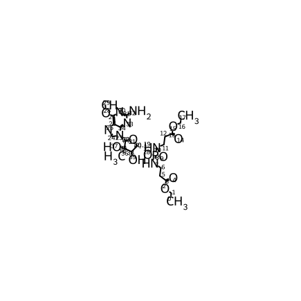 CCOC(=O)CCNP(=O)(NCCC(=O)OCC)OC[C@H]1O[C@@H](n2cnc3c(OC)nc(N)nc32)[C@@](C)(O)C1O